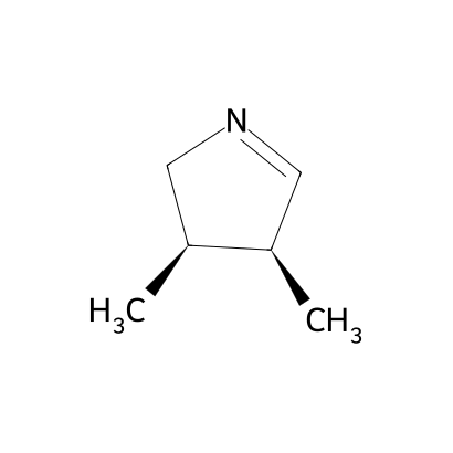 C[C@@H]1C=NC[C@@H]1C